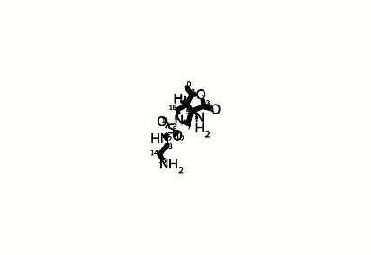 CC1OC(=O)[C@]2(N)CN(S(=O)(=O)NCCN)C[C@H]12